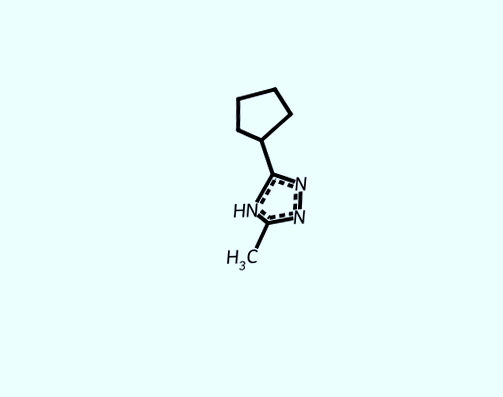 Cc1nnc(C2CCCC2)[nH]1